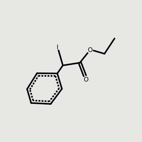 CCOC(=O)C(I)c1ccccc1